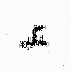 N#Cc1ccc(CC(Nc2nc(NCc3nc4cc(Cl)ccc4[nH]3)nc(Nc3cccc(CN4CCN(C(=O)c5c[nH]nn5)CC4)c3)n2)C(=O)O)cc1